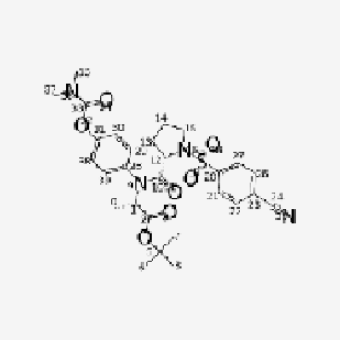 C[C@@H](C(=O)OC(C)(C)C)N(C(=O)[C@@H]1CCCN1S(=O)(=O)c1ccc(C#N)cc1)c1ccc(OC(=O)N(C)C)cc1